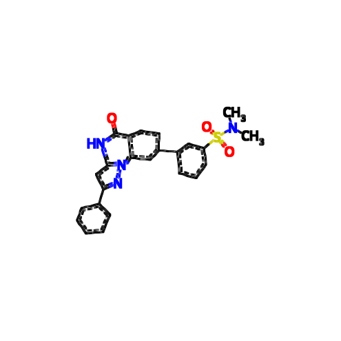 CN(C)S(=O)(=O)c1cccc(-c2ccc3c(=O)[nH]c4cc(-c5ccccc5)nn4c3c2)c1